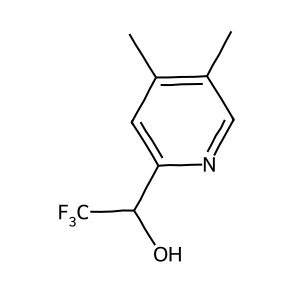 Cc1cnc(C(O)C(F)(F)F)cc1C